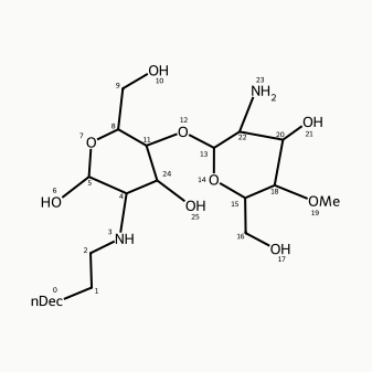 CCCCCCCCCCCCNC1C(O)OC(CO)C(OC2OC(CO)C(OC)C(O)C2N)C1O